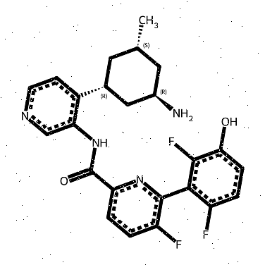 C[C@@H]1C[C@@H](N)C[C@H](c2ccncc2NC(=O)c2ccc(F)c(-c3c(F)ccc(O)c3F)n2)C1